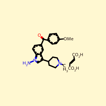 COc1ccc(C(=O)c2ccc3c(c2)c(C2CCN(C)CC2)cn3N)cc1.O=C(O)C=CC(=O)O